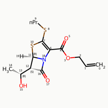 C=CCOC(=O)C1=C(SCCC)S[C@@H]2[C@@H]([C@@H](C)O)C(=O)N12